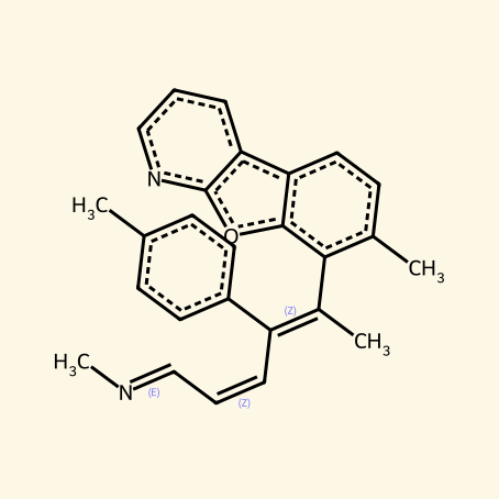 C/N=C/C=C\C(=C(/C)c1c(C)ccc2c1oc1ncccc12)c1ccc(C)cc1